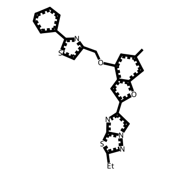 CCc1nn2cc(-c3cc4c(OCc5csc(-c6ccccc6)n5)cc(C)cc4o3)nc2s1